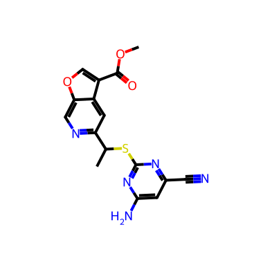 COC(=O)c1coc2cnc(C(C)Sc3nc(N)cc(C#N)n3)cc12